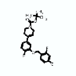 CC(C)(C)OC(=O)N1CC=C(c2ccc(F)c(OCc3ccc(Cl)cc3F)c2)CC1